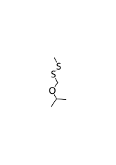 CSSCOC(C)C